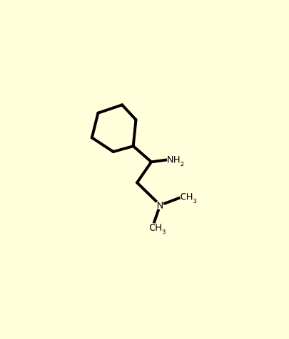 CN(C)CC(N)C1CCCCC1